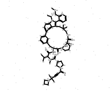 CCn1c(-c2cccnc2[C@H](C)OC)c2c3cc(ccc31)-c1cccc(c1)C[C@H](NC(=O)C(C(C)C)N(C)C(=O)[C@@H]1CCN(C(=O)C#CC(C)(C)N3CCC3)C1)C(=O)N1CCC[C@H](N1)C(=O)OCC(C)(C)C2